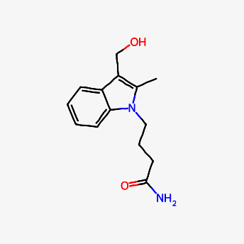 Cc1c(CO)c2ccccc2n1CCCC(N)=O